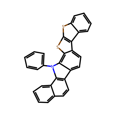 c1ccc(-n2c3c4ccccc4ccc3c3ccc4c(sc5sc6ccccc6c54)c32)cc1